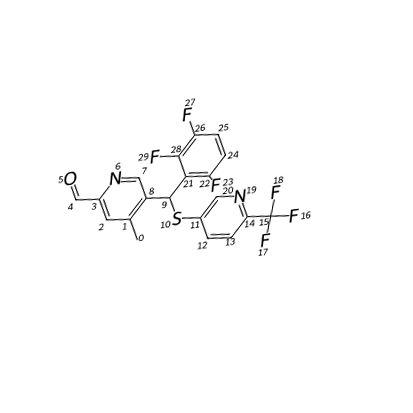 Cc1cc(C=O)ncc1C(Sc1ccc(C(F)(F)F)nc1)c1c(F)ccc(F)c1F